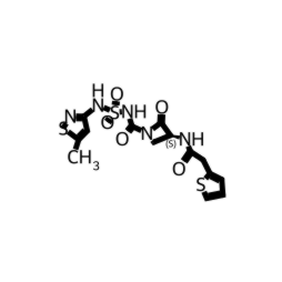 Cc1cc(NS(=O)(=O)NC(=O)N2C[C@H](NC(=O)Cc3cccs3)C2=O)ns1